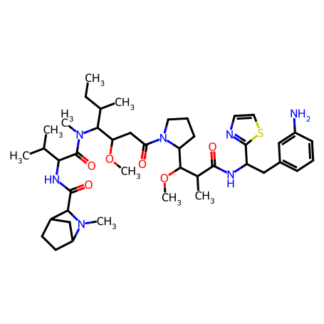 CCC(C)C(C(CC(=O)N1CCCC1C(OC)C(C)C(=O)NC(Cc1cccc(N)c1)c1nccs1)OC)N(C)C(=O)C(NC(=O)C1C2CCC(C2)N1C)C(C)C